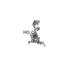 CC(CSCc1cnccc1SC1=C(C(=O)O)N2C(=O)[C@@H](NC(=O)/C(=N\OCCF)c3csc(N)n3)[C@@H]2SC1)NC=N